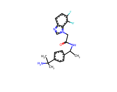 CC(NC(=O)Cn1cnc2ccc(F)c(F)c21)c1ccc(C(C)(C)N)cc1